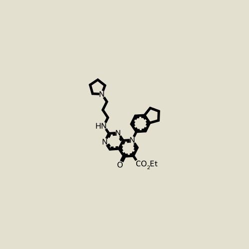 CCOC(=O)c1cn(-c2ccc3c(c2)CCC3)c2nc(NCCCN3CCCC3)ncc2c1=O